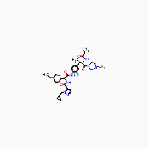 CCC(=O)N[C@@H](C(=O)N1CCN(C)CC1)[C@@H](C)c1ccc(NC(=O)[C@@H](NC(=O)c2ccnn2CC2CC2)[C@H]2CC[C@H](CC)CC2)c(F)c1